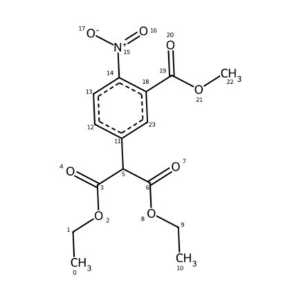 CCOC(=O)C(C(=O)OCC)c1ccc([N+](=O)[O-])c(C(=O)OC)c1